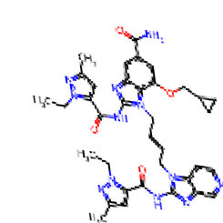 CCn1nc(C)cc1C(=O)Nc1nc2cnccc2n1C/C=C/Cn1c(NC(=O)c2cc(C)nn2CC)nc2cc(C(N)=O)cc(OCC3CC3)c21